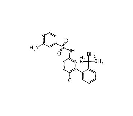 BC(B)(B)c1ccccc1-c1nc(NS(=O)(=O)c2ccnc(N)c2)ccc1Cl